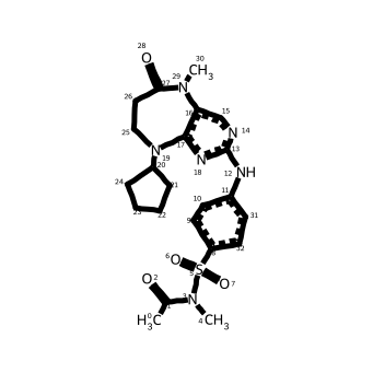 CC(=O)N(C)S(=O)(=O)c1ccc(Nc2ncc3c(n2)N(C2CCCC2)CCC(=O)N3C)cc1